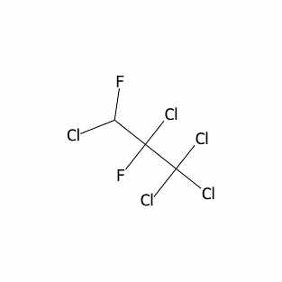 FC(Cl)C(F)(Cl)C(Cl)(Cl)Cl